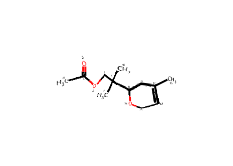 CC(=O)OCC(C)(C)C1CC(C)=CCO1